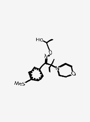 CSc1ccc(C(=NOC(C)O)C(C)(C)N2CCOCC2)cc1